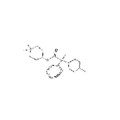 CC1CCN(C(C)(C(=O)OC2CC[N+](C)(C)CC2)c2ccccc2)CC1